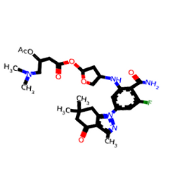 CC(=O)OC(CC(=O)OC1CC(Nc2cc(-n3nc(C)c4c3CC(C)(C)CC4=O)cc(F)c2C(N)=O)CO1)CN(C)C